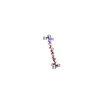 CCC(CC)NCCOCCOCCOCCOCCC(=O)C(CC)CC